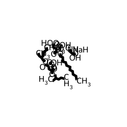 CCCCC(CC)COC(=O)CC(C(=O)OCC(CC)CCCC)S(=O)(=O)O.CCCCCCCCCCCCOC(=O)C(CC(=O)O)S(=O)(=O)O.CNCC(=O)O.[NaH]